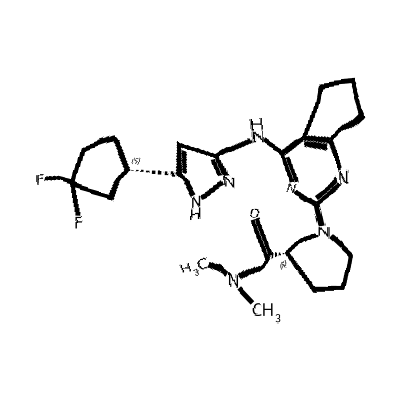 CN(C)C(=O)[C@H]1CCCN1c1nc2c(c(Nc3cc([C@H]4CCC(F)(F)C4)[nH]n3)n1)CCC2